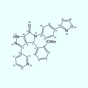 COc1ccccc1C1c2c(-c3cccnc3)n[nH]c2C(=O)N1c1ccc(-c2ccon2)cc1